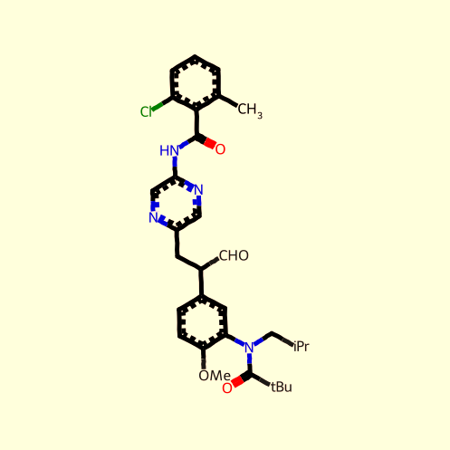 COc1ccc(C(C=O)Cc2cnc(NC(=O)c3c(C)cccc3Cl)cn2)cc1N(CC(C)C)C(=O)C(C)(C)C